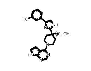 Cl.Cl.OC1(c2nc(-c3cccc(C(F)(F)F)c3)c[nH]2)CCN(c2ncnc3[nH]ccc23)CC1